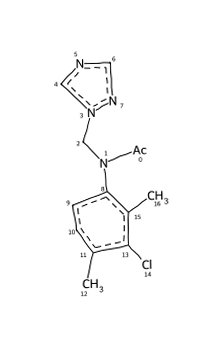 CC(=O)N(Cn1cncn1)c1ccc(C)c(Cl)c1C